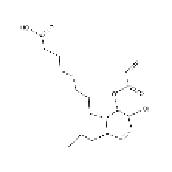 C=CC(=O)OC1C(O)C=CC(CCC)C1CCCCCCCC(=O)O